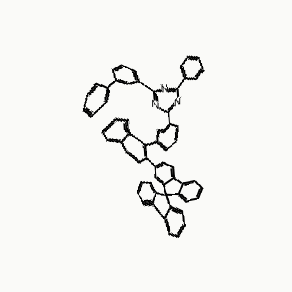 c1ccc(-c2cccc(-c3nc(-c4ccccc4)nc(-c4cccc(-c5c(-c6ccc7c(c6)C6(c8ccccc8-c8ccccc86)c6ccccc6-7)ccc6ccccc56)c4)n3)c2)cc1